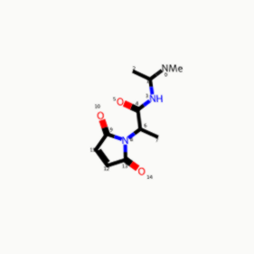 CNC(C)NC(=O)C(C)N1C(=O)C=CC1=O